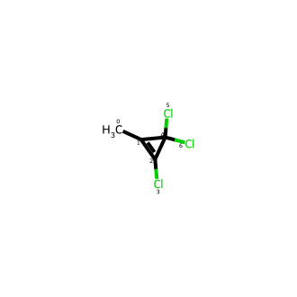 CC1=C(Cl)C1(Cl)Cl